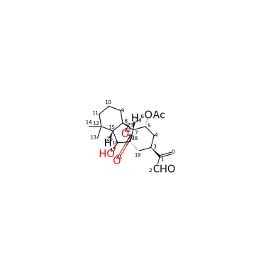 C=C(C=O)[C@@H]1C[C@@H](OC(C)=O)[C@H]2C34CCCC(C)(C)[C@H]3[C@H](O)[C@@]2(C1)C(=O)OC4